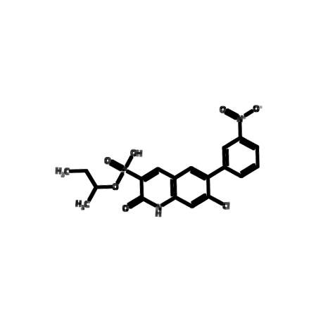 CCC(C)OP(=O)(O)c1cc2cc(-c3cccc([N+](=O)[O-])c3)c(Cl)cc2[nH]c1=O